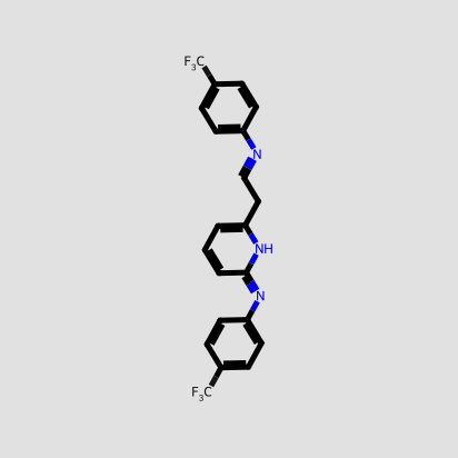 FC(F)(F)c1ccc(N=CCc2cccc(=Nc3ccc(C(F)(F)F)cc3)[nH]2)cc1